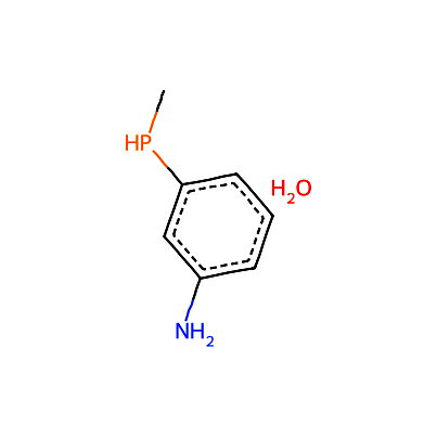 CPc1cccc(N)c1.O